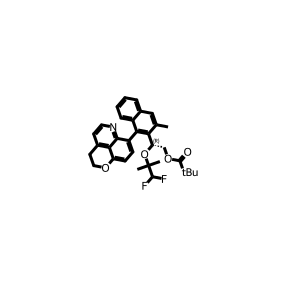 Cc1cc2ccccc2c(-c2ccc3c4c(ccnc24)CCO3)c1[C@H](COC(=O)C(C)(C)C)OC(C)(C)C(F)F